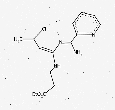 C=C(Cl)/C=C(\N=C(/N)c1ccccn1)NCCC(=O)OCC